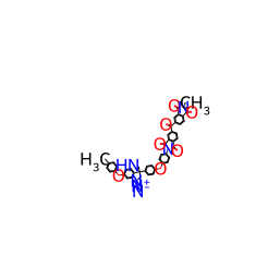 Cc1ccc(Oc2ccc(C(C=N)(CN=[N+]=[N-])c3ccc(Oc4ccc(N5C(=O)c6ccc(C(=O)c7ccc8c(c7)C(=O)N(C)C8=O)cc6C5=O)cc4)cc3)cc2)cc1